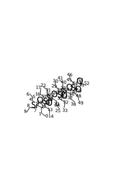 CCC[Si](CCC)(CCC)O[Si](CCC)(CCC)O[Si](CCC)(CCC)O[Si](CCC)(CCC)O[Si](CCC)(CCC)O[Si](CCC)(CCC)OC(C)=O